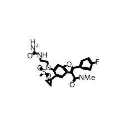 CNC(=O)c1c(-c2ccc(F)cc2)oc2cc(N(CCNC(N)=O)S(C)(=O)=O)c(C3CC3)cc12